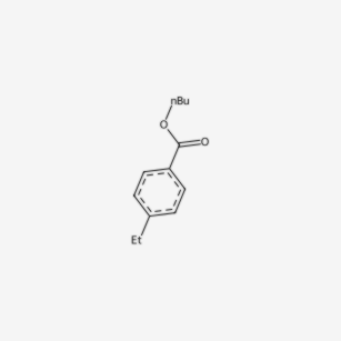 CCCCOC(=O)c1ccc(CC)cc1